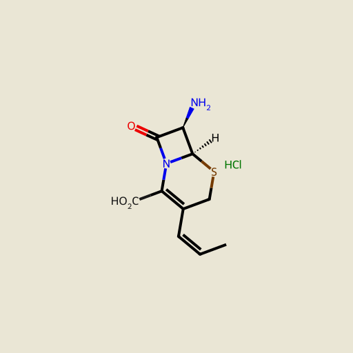 C/C=C\C1=C(C(=O)O)N2C(=O)[C@@H](N)[C@H]2SC1.Cl